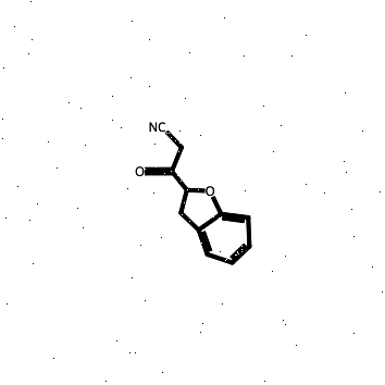 N#CCC(=O)C1Cc2ccccc2O1